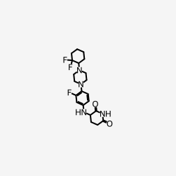 O=C1CCC(Nc2ccc(N3CCN(C4CCCCC4(F)F)CC3)c(F)c2)C(=O)N1